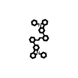 C(=C\c1ccccc1-c1ccc2c(c1)c1ccccc1n2-c1ccccc1)/c1ccccc1-c1ccc2c(c1)c1ccccc1n2-c1ccccc1